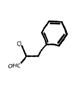 O=CC(Cl)Cc1ccccc1